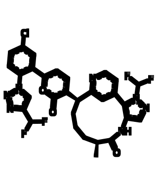 C[C@H]1CCC[C@@H](c2ccc(-c3cc(Cl)ccc3-n3cc(C(F)F)nn3)oc2=O)c2cc(ccn2)-c2c(cnn2C(F)F)NC1=O